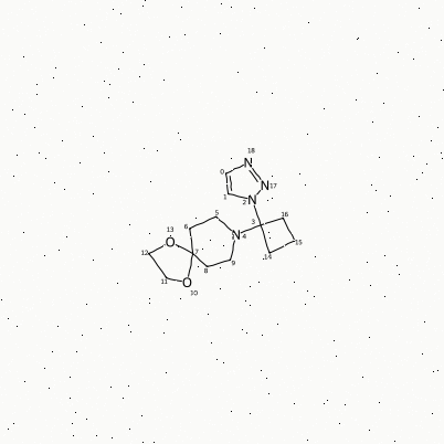 c1cn(C2(N3CCC4(CC3)OCCO4)CCC2)nn1